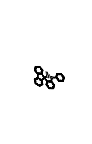 CC1(c2ccccc2Nc2ccccc2)c2ccccc2-c2ccccc21